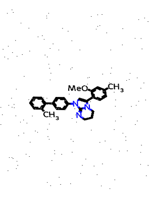 COc1cc(C)ccc1C1=CN(c2ccc(-c3ccccc3C)cc2)C2=NCCCN12